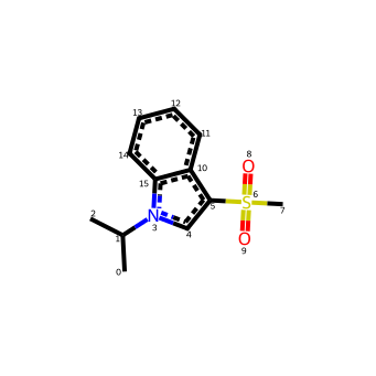 CC(C)n1cc(S(C)(=O)=O)c2ccccc21